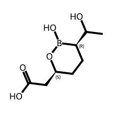 CC(O)[C@H]1CC[C@@H](CC(=O)O)OB1O